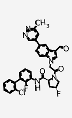 Cc1cc(-c2ccc3c(c2)c(C=O)cn3CC(=O)N2C[C@H](F)C[C@H]2C(=O)Nc2cccc(-c3ccccc3Cl)c2F)cnn1